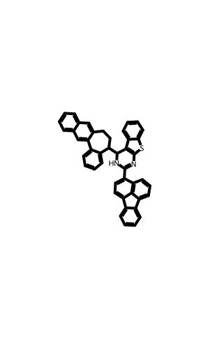 c1ccc2c(c1)-c1cccc3c(C4=Nc5sc6ccccc6c5C(C5CCc6cc7ccccc7cc6-c6ccccc65)N4)ccc-2c13